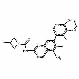 Cc1c(-c2cc3cc(NC(=O)N4CC(C)C4)ncc3c(N)c2F)cnc2c1NCCO2